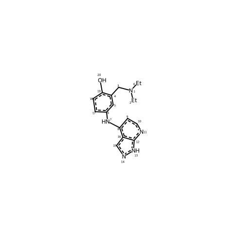 CCN(CC)Cc1cc(Nc2ccnc3[nH]ncc23)ccc1O